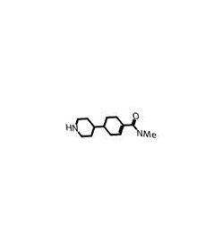 CNC(=O)C1=CCC(C2CCNCC2)CC1